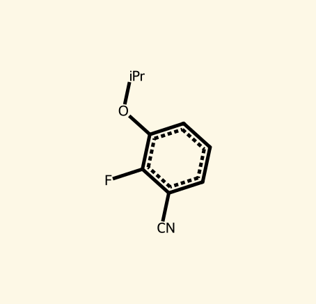 CC(C)Oc1cccc(C#N)c1F